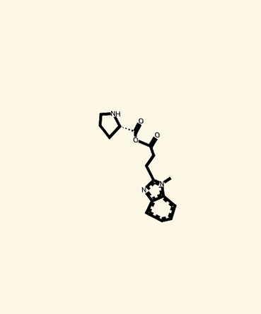 Cn1c(CCC(=O)OC(=O)[C@@H]2CCCN2)nc2ccccc21